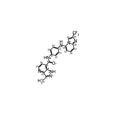 Cc1n[nH]c2c(C(=O)Nc3ccc(Nc4cccc5nc(C(F)(F)F)cn45)cc3)ccnc12